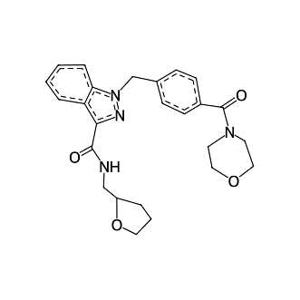 O=C(NCC1CCCO1)c1nn(Cc2ccc(C(=O)N3CCOCC3)cc2)c2ccccc12